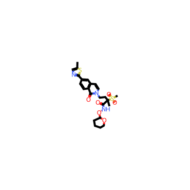 Cc1cnc(-c2ccc3c(=O)n(CCC(C)(C(=O)NOC4CCCCO4)S(C)(=O)=O)ccc3c2)s1